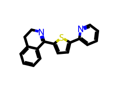 c1ccc(-c2ccc(C3=NCCc4ccccc43)s2)nc1